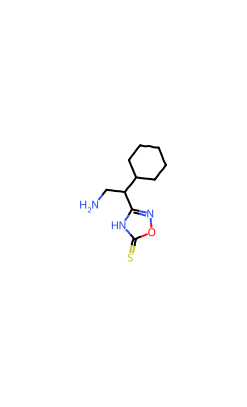 NCC(c1noc(=S)[nH]1)C1CCCCC1